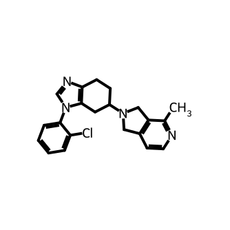 Cc1nccc2c1CN(C1CCc3ncn(-c4ccccc4Cl)c3C1)C2